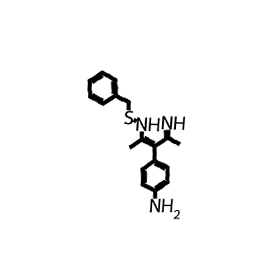 CC(=N)/C(=C(/C)NSCc1ccccc1)c1ccc(N)cc1